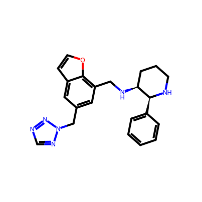 c1ccc([C@@H]2NCCC[C@@H]2NCc2cc(Cn3ncnn3)cc3ccoc23)cc1